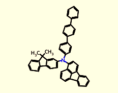 CC1(C)c2ccccc2-c2ccc(N(c3ccc(-c4ccc(-c5ccccc5)cc4)cc3)c3ccc4c5c(cccc35)-c3ccccc3-4)cc21